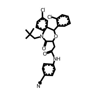 CC(C)(C)CN1C(=O)C(CC(=O)Nc2ccc(C#N)cc2)OC(c2ccccc2Cl)c2cc(Cl)ccc21